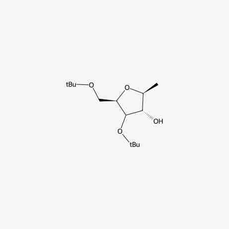 C[C@@H]1O[C@H](COC(C)(C)C)C(OC(C)(C)C)[C@H]1O